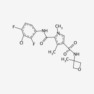 Cc1c(S(=O)(=O)NC2(C)COC2)cn(C)c1C(=O)Nc1ccc(F)c(Cl)c1F